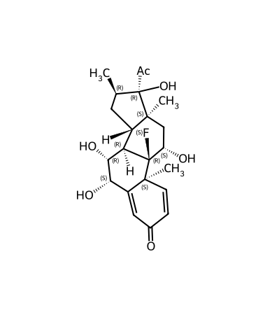 CC(=O)[C@@]1(O)[C@H](C)C[C@H]2[C@@H]3[C@@H](O)[C@@H](O)C4=CC(=O)C=C[C@]4(C)[C@@]3(F)[C@@H](O)C[C@@]21C